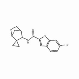 O=C(NC1C2CCN(C2)C12CC2)c1cc2ccc(Br)cc2s1